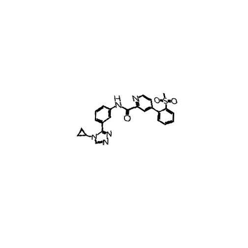 CS(=O)(=O)c1ccccc1-c1ccnc(C(=O)Nc2cccc(-c3nncn3C3CC3)c2)c1